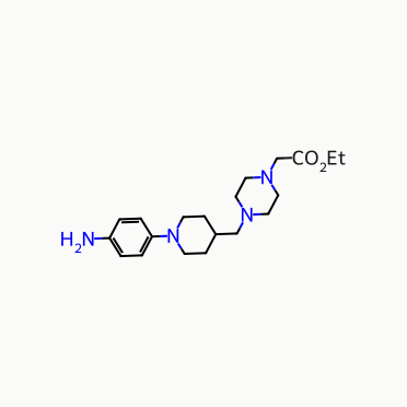 CCOC(=O)CN1CCN(CC2CCN(c3ccc(N)cc3)CC2)CC1